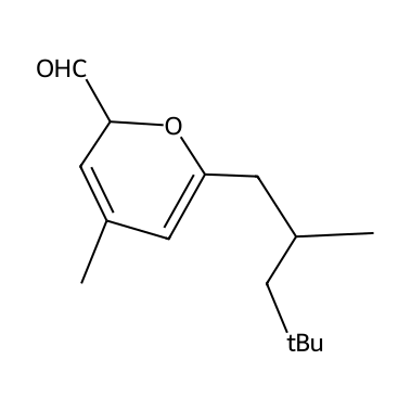 CC1=CC(C=O)OC(CC(C)CC(C)(C)C)=C1